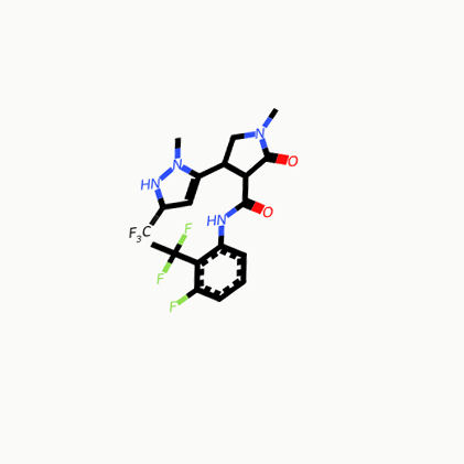 CN1CC(C2=CC(C(F)(F)F)NN2C)C(C(=O)Nc2cccc(F)c2C(C)(F)F)C1=O